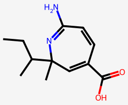 CCC(C)C1(C)C=C(C(=O)O)C=CC(N)=N1